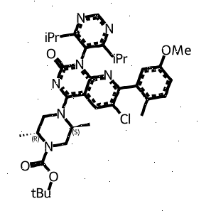 COc1ccc(C)c(-c2nc3c(cc2Cl)c(N2C[C@@H](C)N(C(=O)OC(C)(C)C)C[C@@H]2C)nc(=O)n3-c2c(C(C)C)ncnc2C(C)C)c1